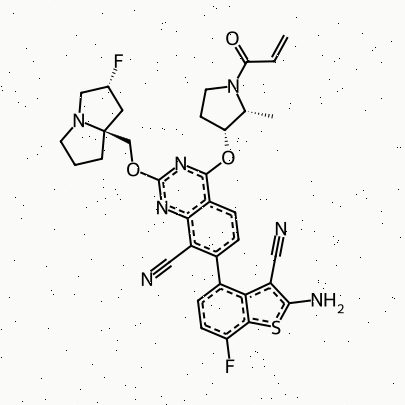 C=CC(=O)N1CC[C@@H](Oc2nc(OC[C@@]34CCCN3C[C@H](F)C4)nc3c(C#N)c(-c4ccc(F)c5sc(N)c(C#N)c45)ccc23)[C@H]1C